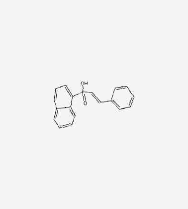 O=P(O)(C=Cc1ccccc1)c1cccc2ccccc12